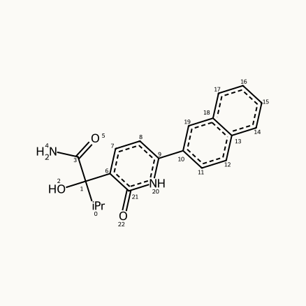 CC(C)C(O)(C(N)=O)c1ccc(-c2ccc3ccccc3c2)[nH]c1=O